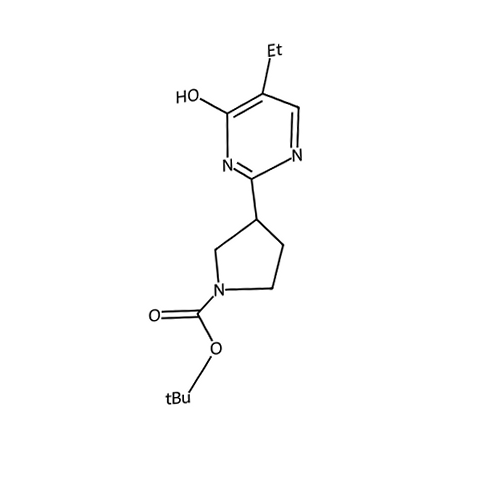 CCc1cnc(C2CCN(C(=O)OC(C)(C)C)C2)nc1O